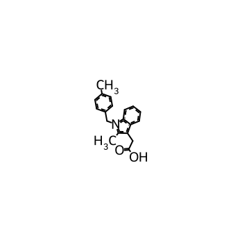 Cc1ccc(Cn2c(C)c(CC(=O)O)c3ccccc32)cc1